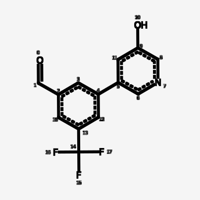 O=Cc1cc(-c2cncc(O)c2)cc(C(F)(F)F)c1